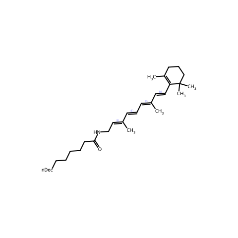 CCCCCCCCCCCCCCCC(=O)NC/C=C(C)/C=C/C=C(C)/C=C/C1=C(C)CCCC1(C)C